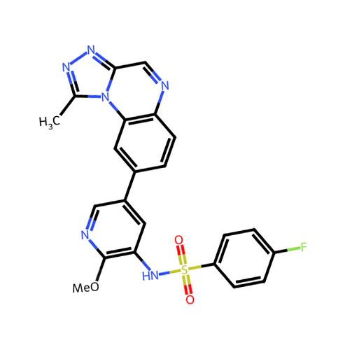 COc1ncc(-c2ccc3ncc4nnc(C)n4c3c2)cc1NS(=O)(=O)c1ccc(F)cc1